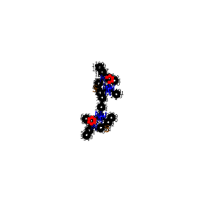 c1ccc(-c2nc(-c3ccccc3)nc(-c3c4ccc(-c5ccc(-c6nc(-c7ccccc7)nc(-c7c8ccccc8cc8sc9ccc(-n%10c%11cc%12ccccc%12cc%11c%11c%12ccccc%12ccc%11%10)cc9c78)n6)cc5)cc4cc4sc5ccc(-n6c7cc8ccccc8cc7c7cc8ccccc8cc76)cc5c34)n2)cc1